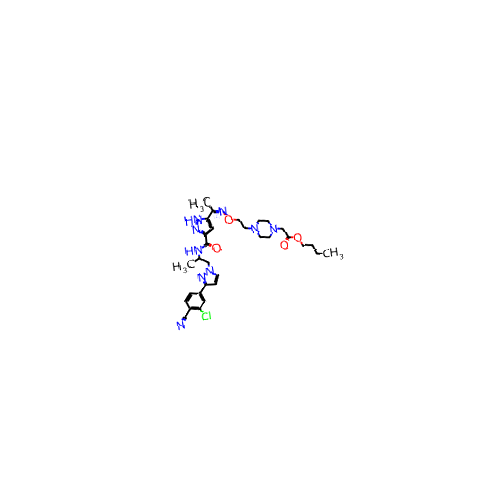 CCCCOC(=O)CN1CCN(CCO/N=C(/C)c2cc(C(=O)NC(C)Cn3ccc(-c4ccc(C#N)c(Cl)c4)n3)n[nH]2)CC1